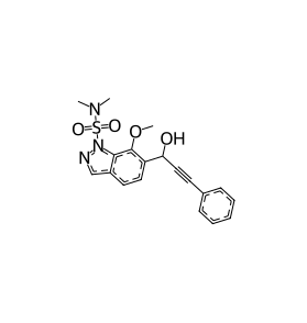 COc1c(C(O)C#Cc2ccccc2)ccc2cnn(S(=O)(=O)N(C)C)c12